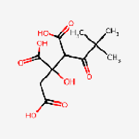 CC(C)(C)C(=O)C(C(=O)O)C(O)(CC(=O)O)C(=O)O